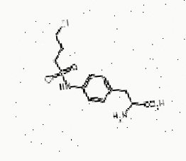 NC(Cc1ccc(NS(=O)(=O)CCCCl)cc1)C(=O)O